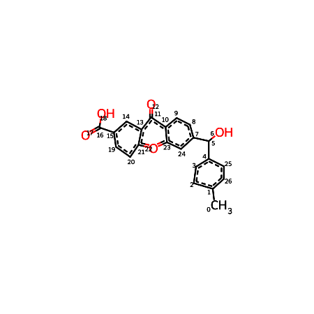 Cc1ccc(C(O)c2ccc3c(=O)c4cc(C(=O)O)ccc4oc3c2)cc1